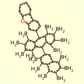 Bc1c(B)c(B)c2c(B)c(B)c(-c3c4c(B)c(B)c(B)c(B)c4c(-c4ccc5c(c4)oc4ccccc45)c4c(B)c(B)c(B)c(B)c34)cc2c1B